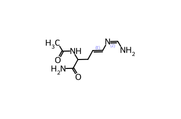 CC(=O)NC(C/C=C/N=C\N)C(N)=O